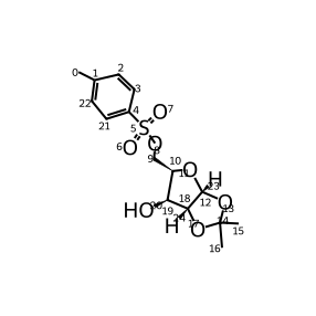 Cc1ccc(S(=O)(=O)OC[C@H]2O[C@@H]3OC(C)(C)O[C@@H]3[C@H]2O)cc1